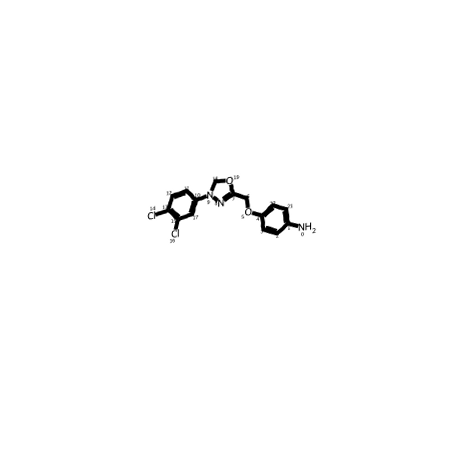 Nc1ccc(OCC2=NN(c3ccc(Cl)c(Cl)c3)CO2)cc1